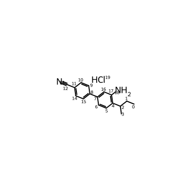 CCC(C)c1ccc(-c2ccc(C#N)cc2)cc1N.Cl